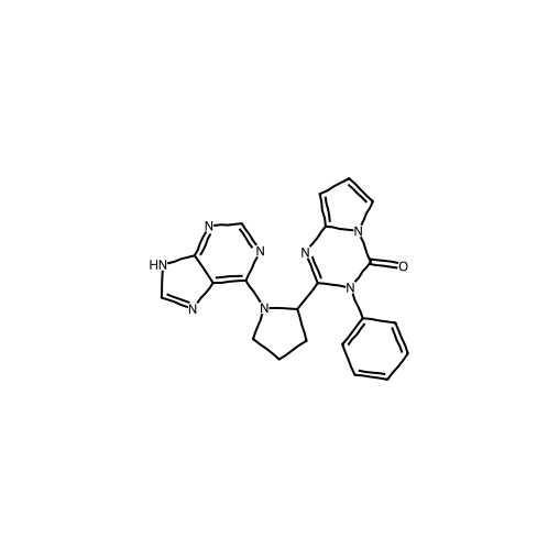 O=c1n(-c2ccccc2)c(C2CCCN2c2ncnc3[nH]cnc23)nc2cccn12